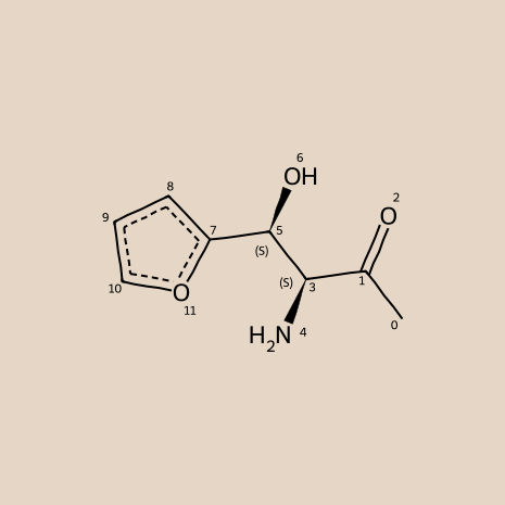 CC(=O)[C@@H](N)[C@H](O)c1ccco1